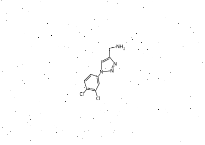 NCc1cn(-c2ccc(Cl)c(Cl)c2)nn1